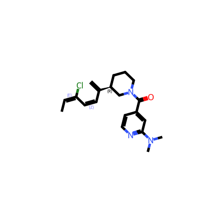 C=C(/C=C\C(Cl)=C/C)[C@H]1CCCN(C(=O)c2ccnc(N(C)C)c2)C1